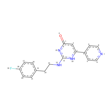 O=c1cc(-c2ccncc2)[nH]c(NCCc2ccc(F)cc2)n1